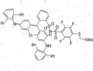 CSCSc1c(F)c(F)c(S(=O)(=O)NS(=O)(=O)c2ccccc2-c2c3cc/c(=N\c4c(C(C)C)cccc4C(C)C)cc-3oc3cc(Nc4c(C(C)C)cccc4C(C)C)ccc23)c(F)c1F